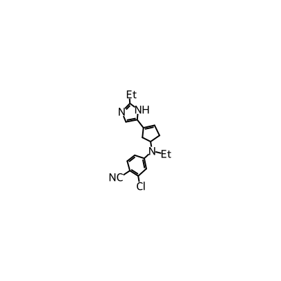 CCc1ncc(C2=CCC(N(CC)c3ccc(C#N)c(Cl)c3)C2)[nH]1